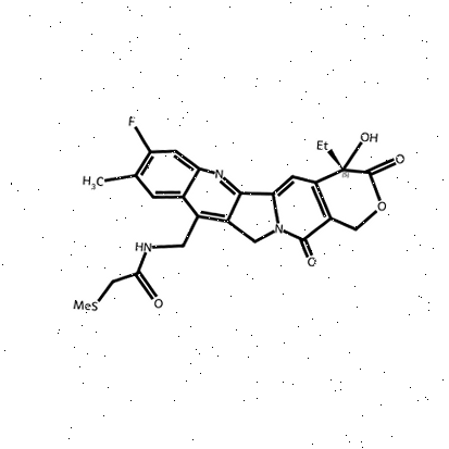 CC[C@@]1(O)C(=O)OCc2c1cc1n(c2=O)Cc2c-1nc1cc(F)c(C)cc1c2CNC(=O)CSC